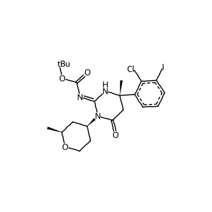 C[C@H]1C[C@@H](N2C(=O)C[C@@](C)(c3cccc(I)c3Cl)N/C2=N\C(=O)OC(C)(C)C)CCO1